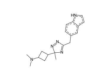 CN(C)C1CC(C2(C)N=NC(Cc3ccc4[nH]ccc4c3)=N2)C1